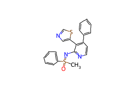 CS(=O)(=Nc1nccc(-c2ccccc2)c1-c1cncs1)c1ccccc1